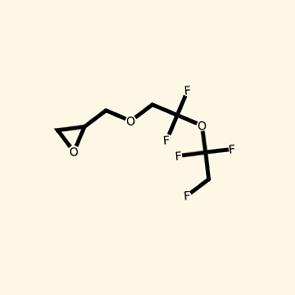 FCC(F)(F)OC(F)(F)COCC1CO1